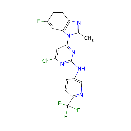 Cc1nc2ccc(F)cc2n1-c1cc(Cl)nc(Nc2ccc(C(F)(F)F)nc2)n1